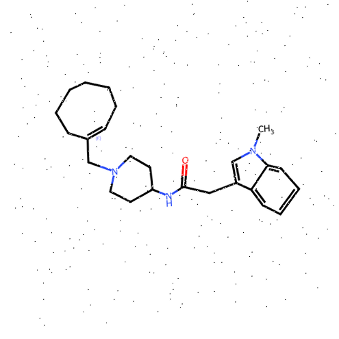 Cn1cc(CC(=O)NC2CCN(C/C3=C/CCCCCC3)CC2)c2ccccc21